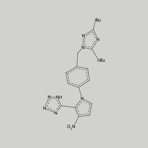 CCCCc1nc(C(C)CC)nn1Cc1ccc(-n2ccc([N+](=O)[O-])c2-c2nnn[nH]2)cc1